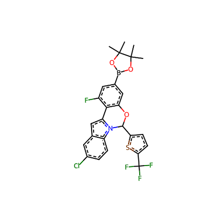 CC1(C)OB(c2cc(F)c3c(c2)OC(c2ccc(C(F)(F)F)s2)n2c-3cc3cc(Cl)ccc32)OC1(C)C